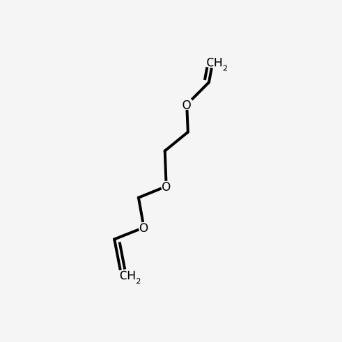 C=COCCOCOC=C